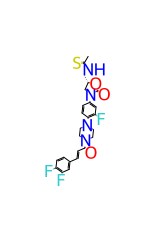 CC(=S)NC[C@H]1CN(c2ccc(N3CCN(C(=O)C=Cc4ccc(F)c(F)c4)CC3)c(F)c2)C(=O)O1